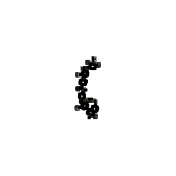 COc1cc(-c2cn(C)c(=O)c3ccc(F)cc23)cc(Cl)c1CN1CCC(N(C)C(=O)C2CCN(c3ccc(NC4CCC(=O)NC4=O)cc3Cl)CC2)CC1